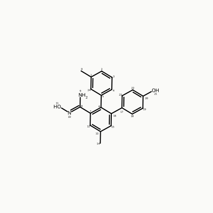 Cc1cccc(-c2c(/C(N)=N/O)cc(C)cc2-c2ccc(O)cc2)c1